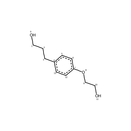 OCCCc1ccc(OCCO)cc1